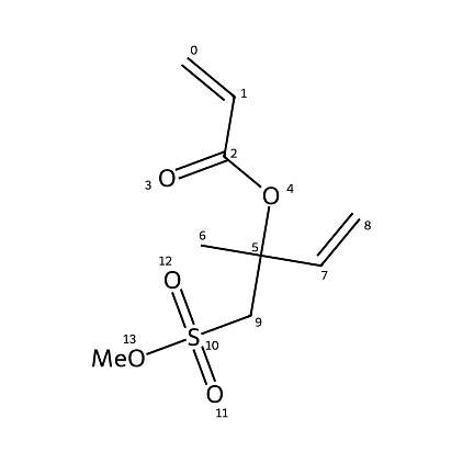 C=CC(=O)OC(C)(C=C)CS(=O)(=O)OC